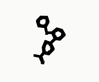 CC(=O)c1ccc(-c2ccccc2Sc2ccccc2)cc1